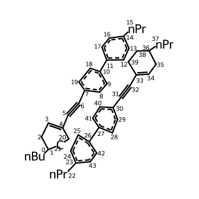 CCCCC1CC=C(C#Cc2ccc(-c3ccc(CCC)cc3)cc2)CC1.CCCc1ccc(-c2ccc(C#CC3=CCC(CCC)CC3)cc2)cc1